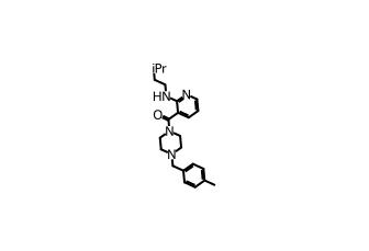 Cc1ccc(CN2CCN(C(=O)c3cccnc3NCCC(C)C)CC2)cc1